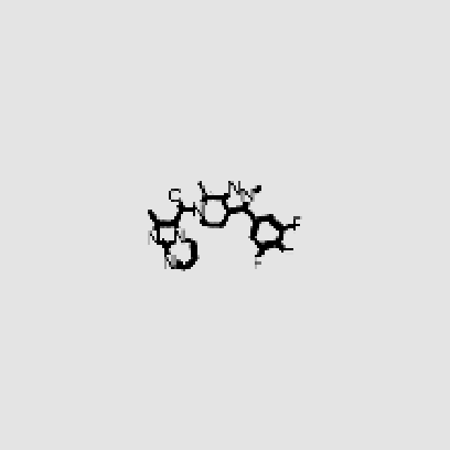 Cc1nc2ncccn2c1C(=O)N1CCc2c(nn(C)c2-c2cc(F)c(F)c(F)c2)[C@@H]1C